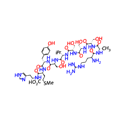 CSCC[C@H](NC(=O)[C@H](Cc1ccc(O)cc1)NC(=O)[C@H](CO)NC(=O)[C@@H](NC(=O)[C@H](CO)NC(=O)[C@H](CO)NC(=O)[C@H](CO)NC(=O)[C@H](C)NC(=O)[C@@H](N)CCCNC(=N)N)C(C)C)C(=O)N[C@@H](Cc1c[nH]cn1)C(=O)O